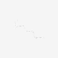 CC/N=N/CCN(C)C